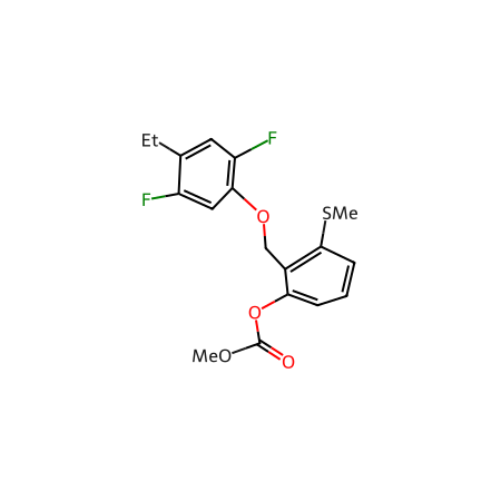 CCc1cc(F)c(OCc2c(OC(=O)OC)cccc2SC)cc1F